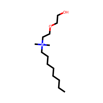 CCCCCCCC[N+](C)(C)CCOCCO